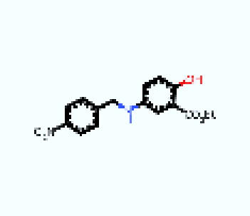 CCOC(=O)c1cc(NCc2ccc([N+](=O)[O-])cc2)ccc1O